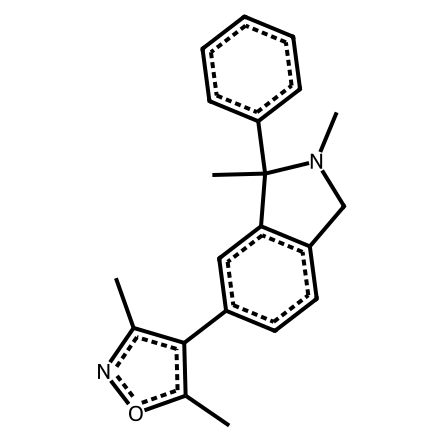 Cc1noc(C)c1-c1ccc2c(c1)C(C)(c1ccccc1)N(C)C2